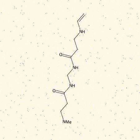 C=CNCCC(=O)NCNC(=O)CCNC